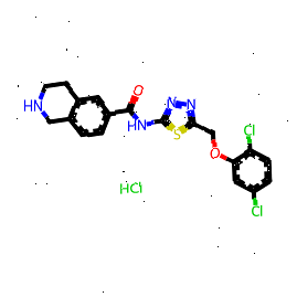 Cl.O=C(Nc1nnc(COc2cc(Cl)ccc2Cl)s1)c1ccc2c(c1)CCNC2